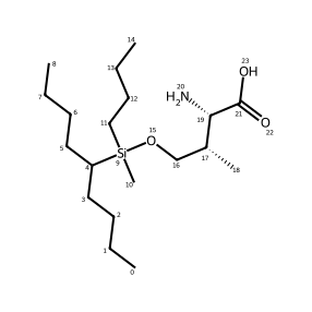 CCCCC(CCCC)[Si](C)(CCCC)OC[C@@H](C)[C@H](N)C(=O)O